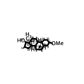 COC1C=C2CC[C@@H]3[C@@H](CC[C@]4(C)C(O)CC[C@@H]34)[C@@]2(CO)CC1